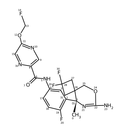 C[C@]1(c2cc(NC(=O)c3cnc(OCF)cn3)ccc2F)N=C(N)OCC12CC(F)(F)C2